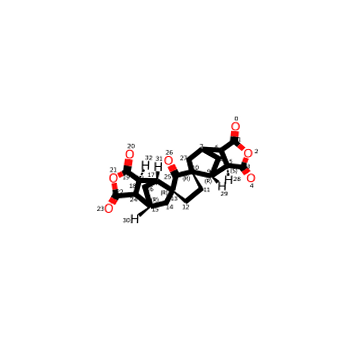 O=C1OC(=O)[C@@H]2C1C1C[C@H]2[C@@]2(CC[C@]3(C[C@H]4C[C@@H]3[C@@H]3C(=O)OC(=O)C43)C2=O)C1